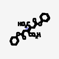 O=C(C/C(C(=O)O)=C(/CC(=O)OC1CCCCC1)C(=O)O)OC1CCCCC1